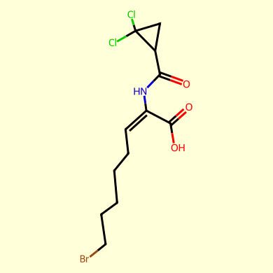 O=C(O)/C(=C\CCCCCBr)NC(=O)C1CC1(Cl)Cl